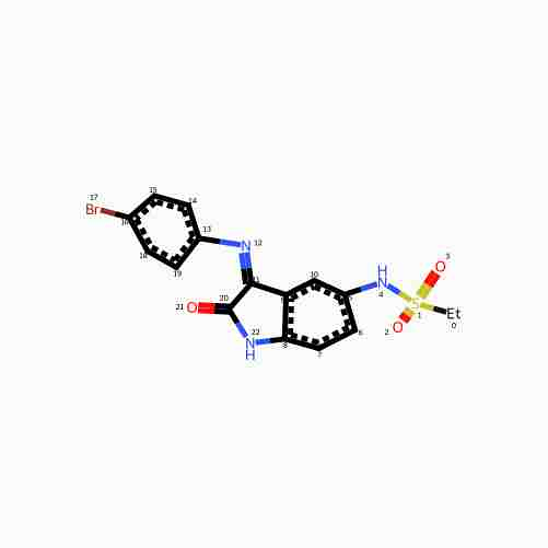 CCS(=O)(=O)Nc1ccc2c(c1)/C(=N/c1ccc(Br)cc1)C(=O)N2